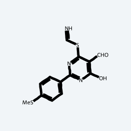 CSc1ccc(-c2nc(O)c(C=O)c(SC=N)n2)cc1